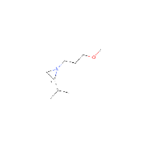 COCCCN1C[C@H]1C(C)C